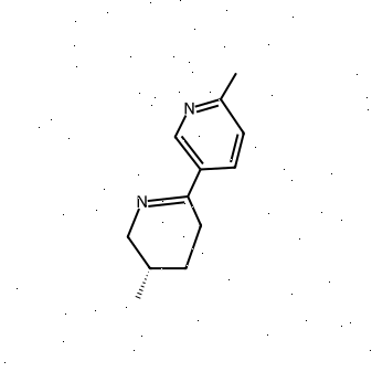 Cc1ccc(C2=NC[C@@H](C)CC2)cn1